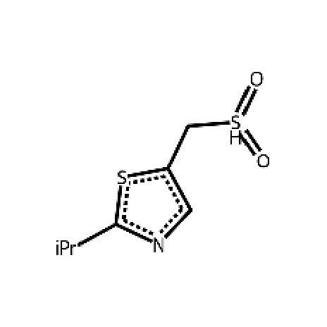 CC(C)c1ncc(C[SH](=O)=O)s1